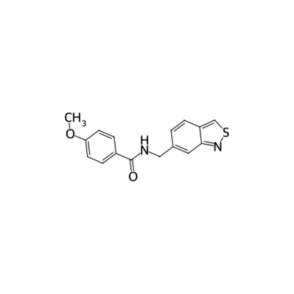 COc1ccc(C(=O)NCc2ccc3csnc3c2)cc1